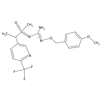 COc1ccc(CO/N=C(\N)N=S(C)(=O)C(C)c2ccc(C(F)(F)F)nc2)cc1